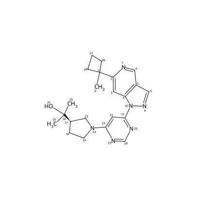 CC1(c2cc3c(cn2)cnn3-c2cc(N3CC[C@@H](C(C)(C)O)C3)ncn2)CCC1